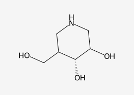 OCC1CNCC(O)[C@@H]1O